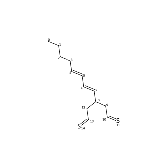 CCCCC=CC=CC(CC=S)CC=S